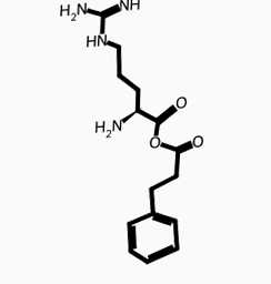 N=C(N)NCCC[C@H](N)C(=O)OC(=O)CCc1ccccc1